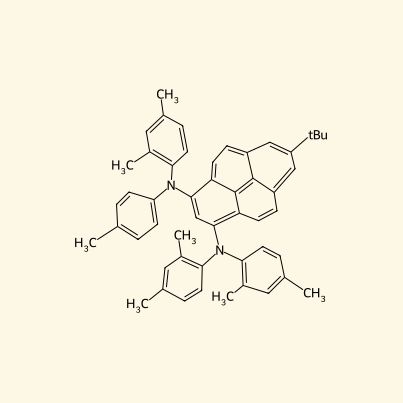 Cc1ccc(N(c2ccc(C)cc2C)c2cc(N(c3ccc(C)cc3C)c3ccc(C)cc3C)c3ccc4cc(C(C)(C)C)cc5ccc2c3c54)cc1